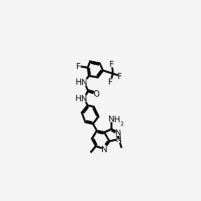 Cc1cc(-c2ccc(NC(=O)Nc3cc(C(F)(F)F)ccc3F)cc2)c2c(N)nn(C)c2n1